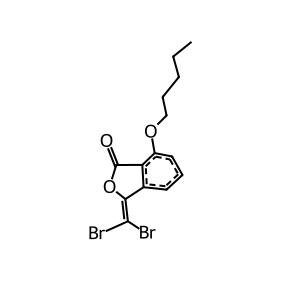 CCCCCOc1cccc2c1C(=O)OC2=C(Br)Br